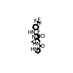 COc1nc(N[C@H]2CC[C@H](C(F)(F)F)CC2)c(F)cc1CNC(=O)[C@@H]1CCCN1.Cl